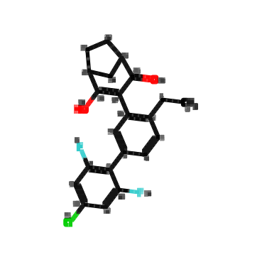 CCc1ccc(-c2c(F)cc(Cl)cc2F)cc1C1=C(O)C2CCC(C2)C1=O